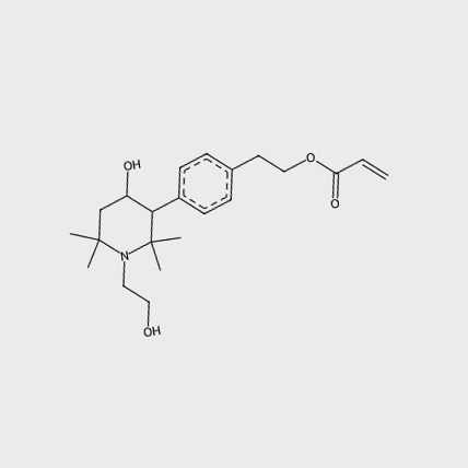 C=CC(=O)OCCc1ccc(C2C(O)CC(C)(C)N(CCO)C2(C)C)cc1